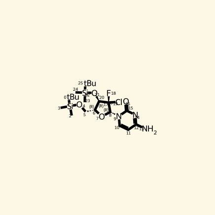 CC(C)(C)[Si](C)(C)OC[C@H]1O[C@@H](n2ccc(N)nc2=O)[C@@](F)(Cl)[C@@H]1O[Si](C)(C)C(C)(C)C